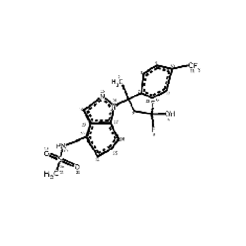 CC(CC(O)(F)F)(c1ccc(C(F)(F)F)cc1)n1ncc2c(NS(C)(=O)=O)cccc21